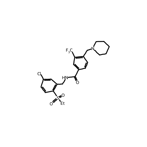 CCS(=O)(=O)c1ccc(Cl)cc1CNC(=O)c1ccc(CN2CCCCC2)c(C(F)(F)F)c1